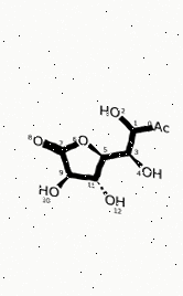 CC(=O)C(O)[C@@H](O)[C@@H]1OC(=O)[C@H](O)[C@H]1O